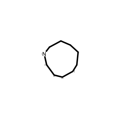 [C]1[C][C][N]CCCCC[C]1